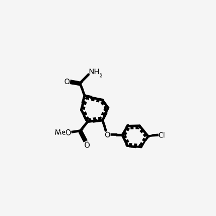 COC(=O)c1cc(C(N)=O)ccc1Oc1ccc(Cl)cc1